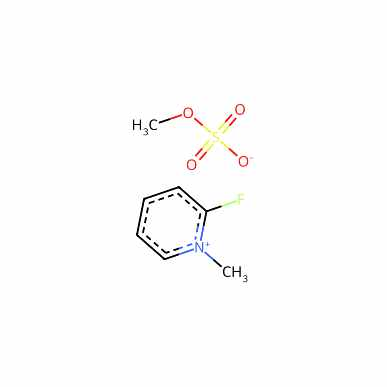 COS(=O)(=O)[O-].C[n+]1ccccc1F